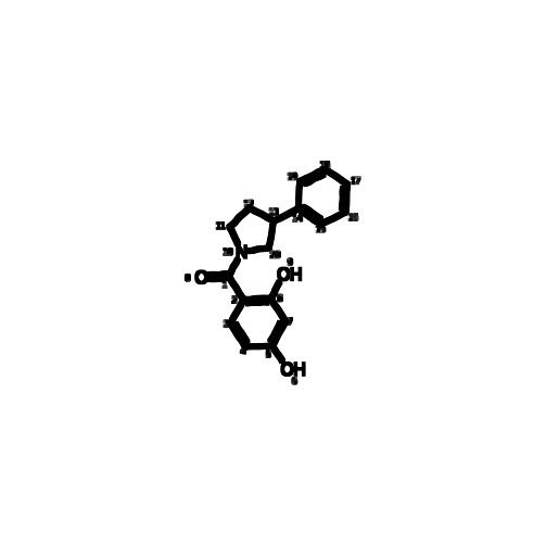 O=C(c1ccc(O)cc1O)N1CCC(c2ccccc2)C1